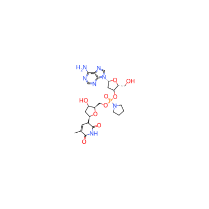 CC1=CC([C@H]2CC(O)[C@@H](COP(=O)(OC3C[C@H](n4cnc5c(N)ncnc54)O[C@@H]3CO)N3CCCC3)O2)C(=O)NC1=O